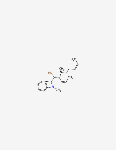 C=C(CC/C=C\C)C(/C=C\C)=C(\S)C1c2ccccc2N1C